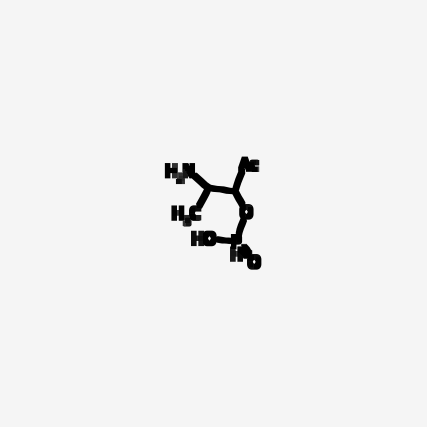 CC(=O)C(O[PH](=O)O)C(C)N